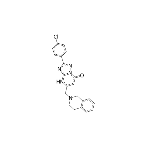 O=c1cc(CN2CCc3ccccc3C2)[nH]c2nc(-c3ccc(Cl)cc3)nn12